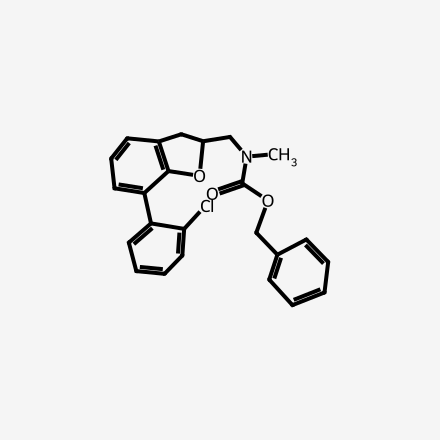 CN(CC1Cc2cccc(-c3ccccc3Cl)c2O1)C(=O)OCc1ccccc1